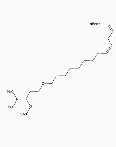 CCCCC/C=C\C/C=C\CCCCCCCCOCCC(OCCCCCCCC)N(C)C